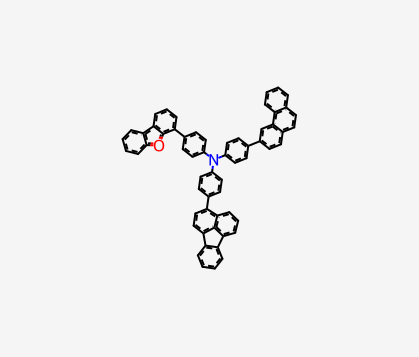 c1ccc2c(c1)-c1cccc3c(-c4ccc(N(c5ccc(-c6ccc7ccc8ccccc8c7c6)cc5)c5ccc(-c6cccc7c6oc6ccccc67)cc5)cc4)ccc-2c13